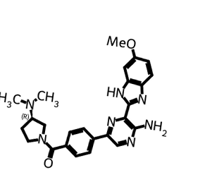 COc1ccc2nc(-c3nc(-c4ccc(C(=O)N5CC[C@@H](N(C)C)C5)cc4)cnc3N)[nH]c2c1